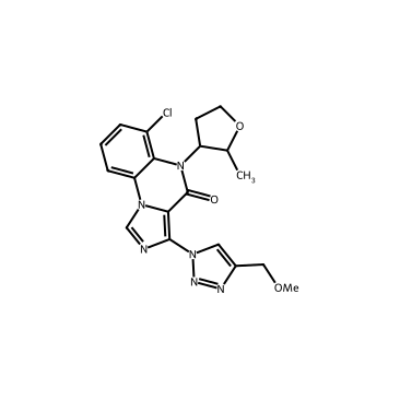 COCc1cn(-c2ncn3c2c(=O)n(C2CCOC2C)c2c(Cl)cccc23)nn1